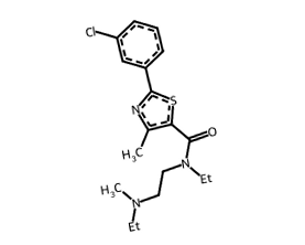 CCN(C)CCN(CC)C(=O)c1sc(-c2cccc(Cl)c2)nc1C